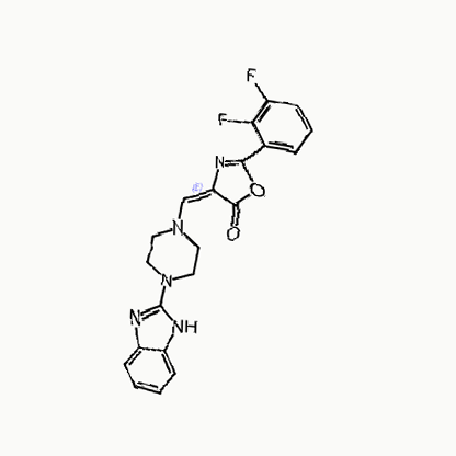 O=C1OC(c2cccc(F)c2F)=N/C1=C/N1CCN(c2nc3ccccc3[nH]2)CC1